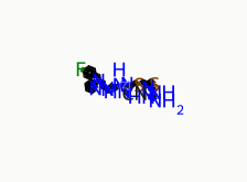 CN(CCN/C(=N/CCSCc1csc(NC(=N)N)n1)NC#N)CCN(Cc1ccc(F)cc1)c1ccccn1